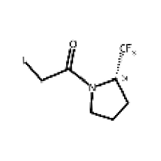 O=C(CI)N1CCC[C@H]1C(F)(F)F